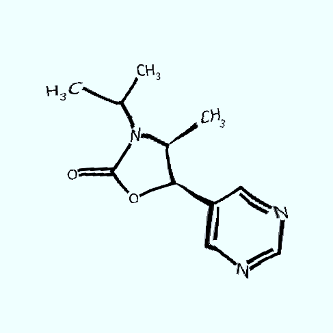 CC(C)N1C(=O)O[C@H](c2cncnc2)[C@@H]1C